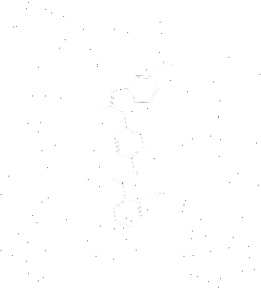 COc1ccc2c(c1)nc(C(F)(F)F)n2-c1ccc(NC(=O)c2ccccc2OC)nc1